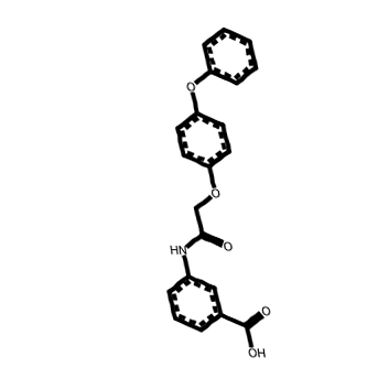 O=C(COc1ccc(Oc2ccccc2)cc1)Nc1cccc(C(=O)O)c1